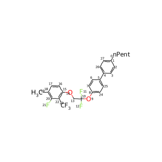 CCCCCc1ccc(-c2ccc(OC(F)(F)COc3ccc(C)c(F)c3C(F)(F)F)cc2)cc1